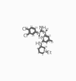 CCN1CCCC(Nc2cc(C)cc(N(C)C(=N)N(C)c3ccc(Cl)c(Cl)c3)n2)C1